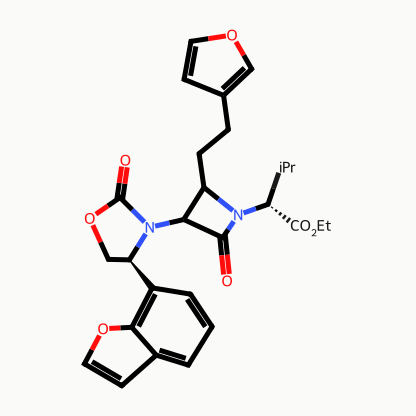 CCOC(=O)[C@@H](C(C)C)N1C(=O)C(N2C(=O)OC[C@@H]2c2cccc3ccoc23)C1CCc1ccoc1